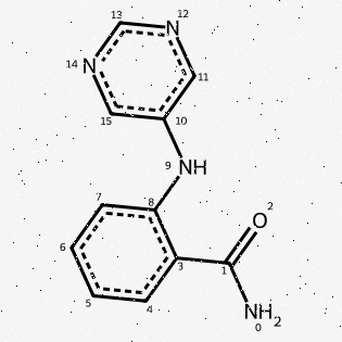 NC(=O)c1ccccc1Nc1cncnc1